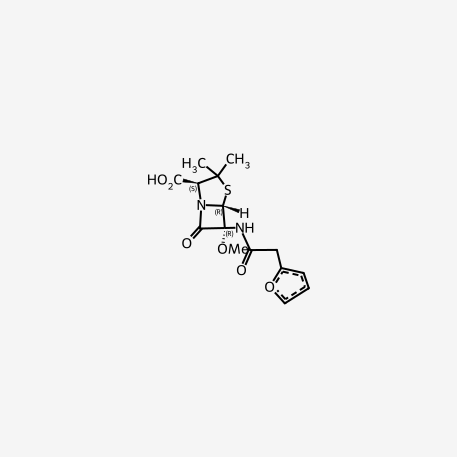 CO[C@]1(NC(=O)Cc2ccco2)C(=O)N2[C@@H](C(=O)O)C(C)(C)S[C@@H]21